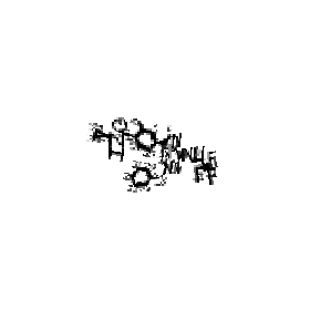 Cc1cc(-c2cnc3c(NCCC(F)(F)F)nc(Cc4ccccc4)cn23)ccc1C(=O)NC1CC1